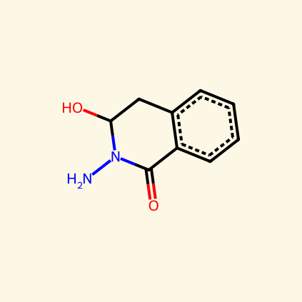 NN1C(=O)c2ccccc2CC1O